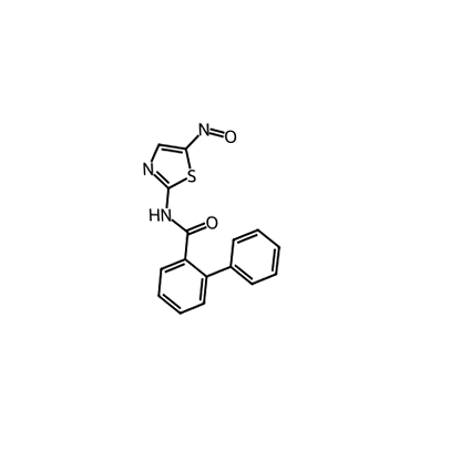 O=Nc1cnc(NC(=O)c2ccccc2-c2ccccc2)s1